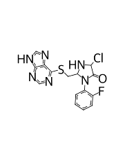 O=C1C(Cl)NC(CSc2ncnc3[nH]cnc23)N1c1ccccc1F